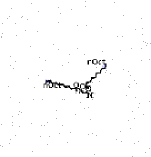 CCCCCCCC/C=C\CCCCCCCC(=O)OC(CC[N+](C)(C)C)OC(=O)CCCCCCC/C=C\CCCCCCCC